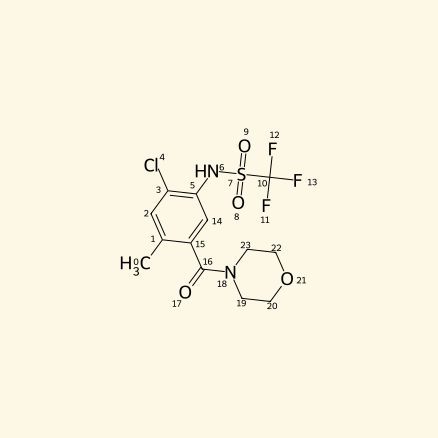 Cc1cc(Cl)c(NS(=O)(=O)C(F)(F)F)cc1C(=O)N1CCOCC1